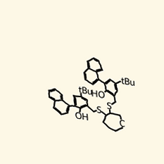 CC(C)(C)c1cc(CSC2CCCCCCC2SCc2cc(C(C)(C)C)cc(-c3cccc4ccccc34)c2O)c(O)c(-c2cccc3ccccc23)c1